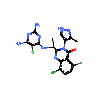 Cc1n[nH]cc1-n1c(C(C)Nc2nc(N)nc(N)c2Cl)nc2c(Cl)ccc(Cl)c2c1=O